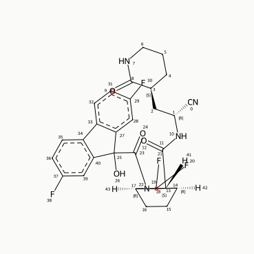 N#C[C@@H](C[C@@H]1CCCNC1=O)NC(=O)[C@@H]1[C@H]2CC[C@H](CC2(F)F)N1C(=O)C1(O)c2cc(F)ccc2-c2ccc(F)cc21